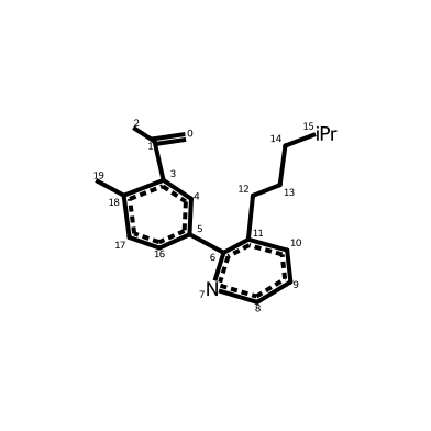 C=C(C)c1cc(-c2ncccc2CCCC(C)C)ccc1C